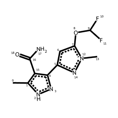 Cc1[nH]nc(-c2cc(OC(F)F)n(C)n2)c1C(N)=O